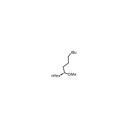 CCCCCC[C@@H](CCCC(C)(C)C)OC